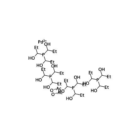 CC(=O)[O-].CC(=O)[O-].CCC(O)P(C(O)CC)C(O)CC.CCC(O)P(C(O)CC)C(O)CC.CCC(O)P(C(O)CC)C(O)CC.CCC(O)P(C(O)CC)C(O)CC.[Pd+2]